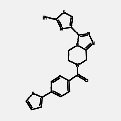 CC(C)c1nc(-c2nnc3n2CCN(C(=O)c2ccc(-c4cccs4)cc2)C3)cs1